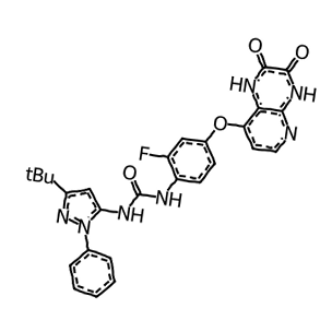 CC(C)(C)c1cc(NC(=O)Nc2ccc(Oc3ccnc4[nH]c(=O)c(=O)[nH]c34)cc2F)n(-c2ccccc2)n1